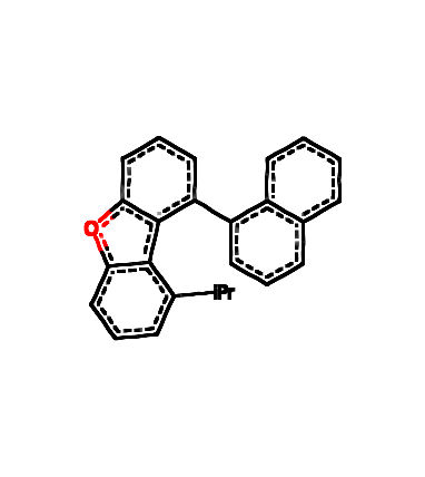 CC(C)c1cccc2oc3cccc(-c4cccc5ccccc45)c3c12